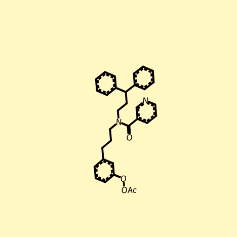 CC(=O)OOc1cccc(CCCN(CCC(c2ccccc2)c2ccccc2)C(=O)c2cccnc2)c1